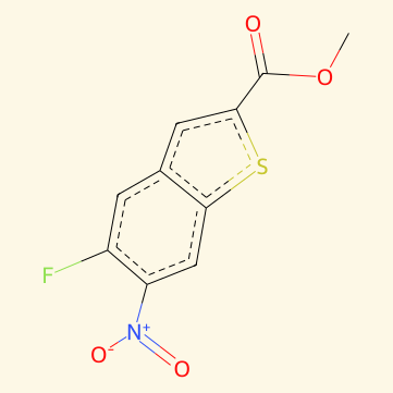 COC(=O)c1cc2cc(F)c([N+](=O)[O-])cc2s1